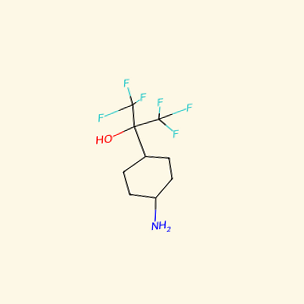 NC1CCC(C(O)(C(F)(F)F)C(F)(F)F)CC1